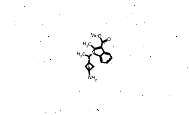 COC(=O)c1c(C)n(C(C)C23CC(N)(C2)C3)c2ccccc12